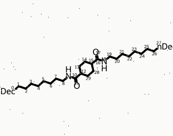 CCCCCCCCCCCCCCCCCCNC(=O)C1CCC(C(=O)NCCCCCCCCCCCCCCCCCC)CC1